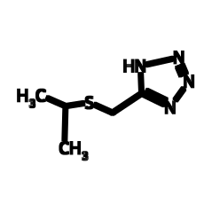 CC(C)SCc1nnn[nH]1